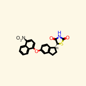 O=C1NC(=O)C([C@@H]2CCc3cc(Oc4ccc([N+](=O)[O-])c5ccccc45)ccc32)S1